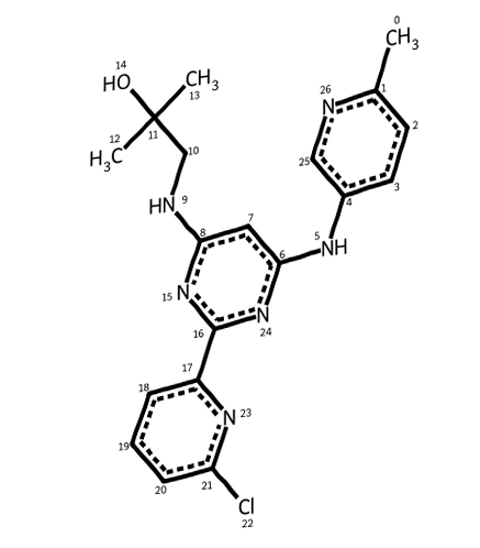 Cc1ccc(Nc2cc(NCC(C)(C)O)nc(-c3cccc(Cl)n3)n2)cn1